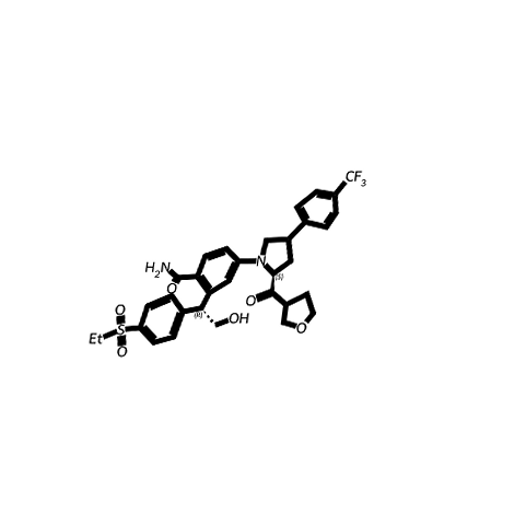 CCS(=O)(=O)c1ccc([C@@H](CO)c2cc(N3CC(c4ccc(C(F)(F)F)cc4)C[C@H]3C(=O)C3CCOC3)ccc2C(N)=O)cc1